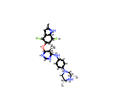 Cc1cc2c(F)c(Oc3ncnc(Nc4ccc(N5C[C@@H](C)N[C@@H](C)C5)cc4)c3C#N)cc(F)c2[nH]1